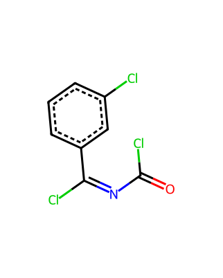 O=C(Cl)/N=C(/Cl)c1cccc(Cl)c1